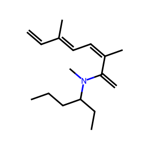 C=C/C(C)=C/C=C(/C)C(=C)N(C)C(CC)CCC